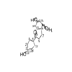 O[C@@H]1CC=C(C2CCC3=C(C[C@H](O)C[C@@H]3O)O2)CC1